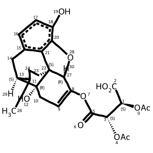 CC(=O)O[C@H](C(=O)O)[C@H](OC(C)=O)C(=O)OC1=CC[C@@]2(O)[C@H]3Cc4ccc(O)c5c4[C@@]2(CCC3C)[C@H]1O5